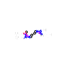 COC[C@H]1C[C@@H](c2nc3ccc4cc(-c5ccc6c(ccc7nc([C@@H]8C[C@H](C)CN8C(=O)C(NC(=O)O)C(C)C)[nH]c76)c5)ccc4c3[nH]2)N(C(=O)C(NC(=O)OC)c2ccccc2)C1